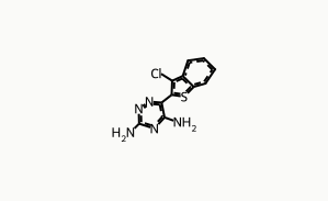 Nc1nnc(-c2sc3ccccc3c2Cl)c(N)n1